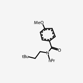 CCCN(CCC(C)(C)C)C(=O)c1ccc(OC)cc1